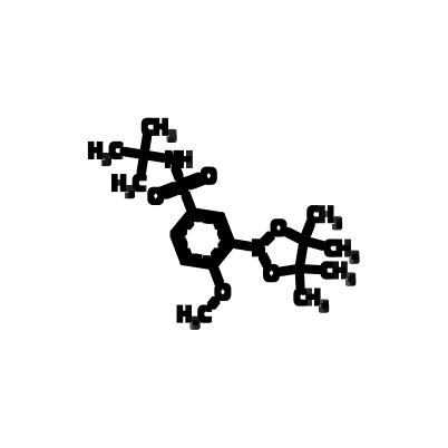 COc1ccc(S(=O)(=O)NC(C)(C)C)cc1B1OC(C)(C)C(C)(C)O1